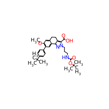 COc1cc2c(cc1-c1ccc(C(C)(C)C)cc1)-c1nn(CCCNC(=O)OC(C)(C)C)c(C(=O)O)c1CC2